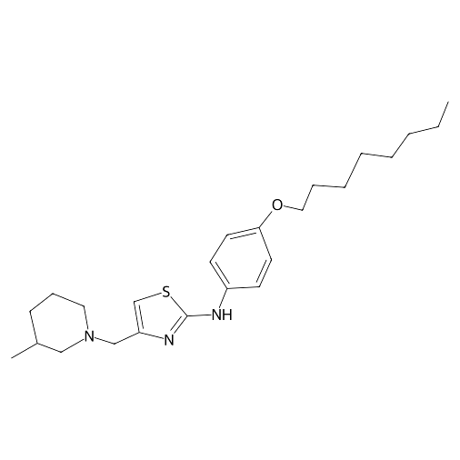 CCCCCCCCOc1ccc(Nc2nc(CN3CCCC(C)C3)cs2)cc1